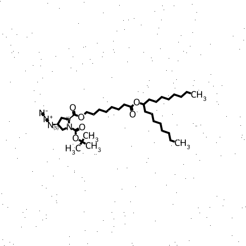 CCCCCCCCC(CCCCCCCC)OC(=O)CCCCCCCOC(=O)[C@@H]1C[C@H](N=[N+]=[N-])CN1C(=O)OC(C)(C)C